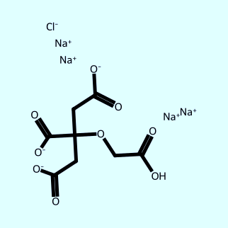 O=C([O-])CC(CC(=O)[O-])(OCC(=O)O)C(=O)[O-].[Cl-].[Na+].[Na+].[Na+].[Na+]